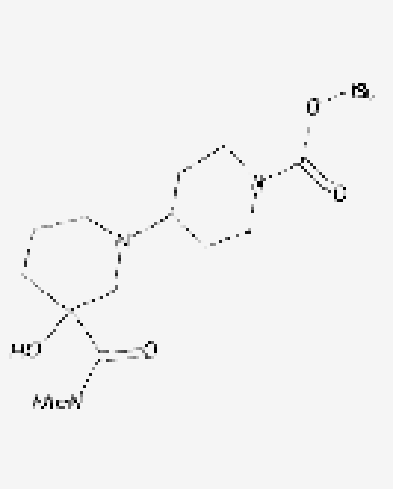 CNC(=O)C1(O)CCCN(C2CCN(C(=O)OC(C)(C)C)CC2)C1